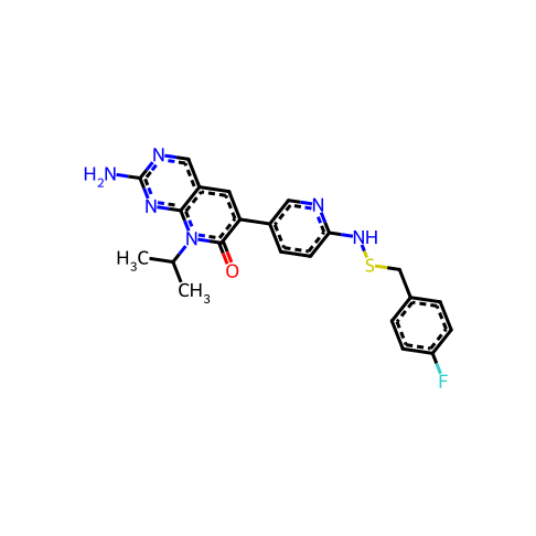 CC(C)n1c(=O)c(-c2ccc(NSCc3ccc(F)cc3)nc2)cc2cnc(N)nc21